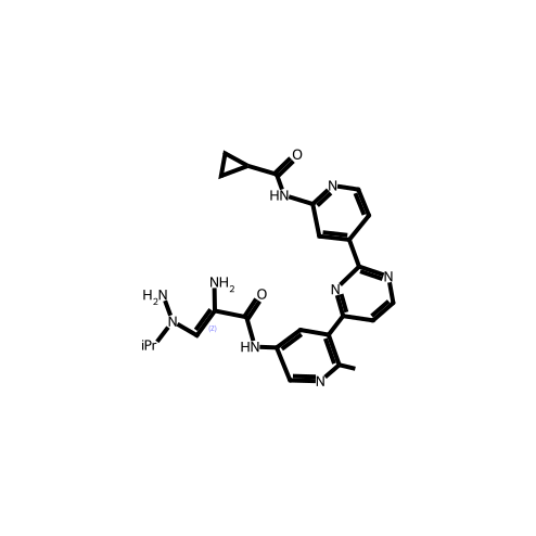 Cc1ncc(NC(=O)/C(N)=C/N(N)C(C)C)cc1-c1ccnc(-c2ccnc(NC(=O)C3CC3)c2)n1